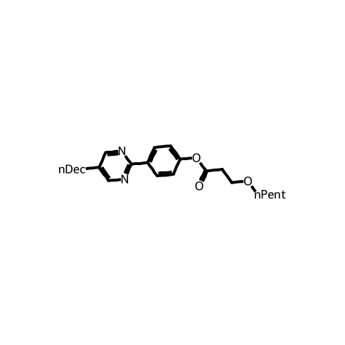 CCCCCCCCCCc1cnc(-c2ccc(OC(=O)CCOCCCCC)cc2)nc1